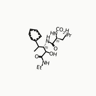 CCNC(=O)C(O)[C@@H](NC(=O)[C@H](CC(C)C)NC(=O)O)C(C)c1ccccc1